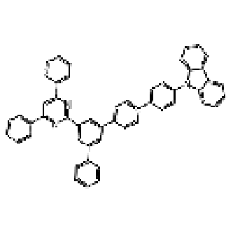 c1ccc(-c2cc(-c3ccc(-c4ccc(-n5c6ccccc6c6ccccc65)cc4)cc3)cc(-c3nc(-c4ccccc4)cc(-c4ccccc4)n3)c2)cc1